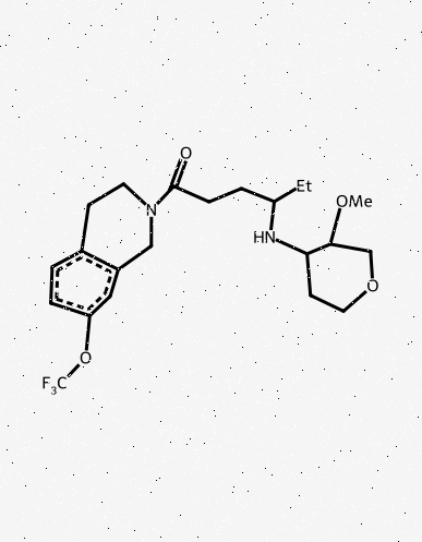 CCC(CCC(=O)N1CCc2ccc(OC(F)(F)F)cc2C1)NC1CCOCC1OC